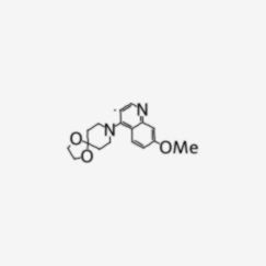 COc1ccc2c(N3CCC4(CC3)OCCO4)[c]cnc2c1